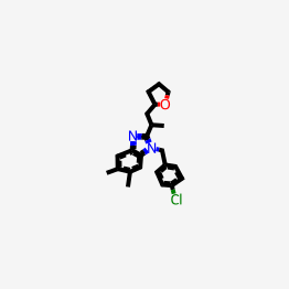 Cc1cc2nc(C(C)CC3CCCO3)n(Cc3ccc(Cl)cc3)c2cc1C